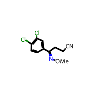 CO/N=C(\CCC#N)c1ccc(Cl)c(Cl)c1